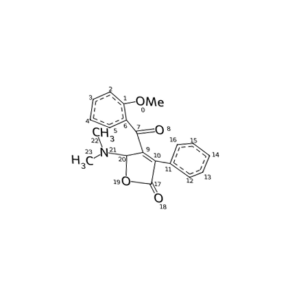 COc1ccccc1C(=O)C1=C(c2ccccc2)C(=O)OC1N(C)C